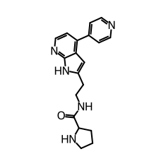 O=C(NCCc1cc2c(-c3ccncc3)ccnc2[nH]1)C1CCCN1